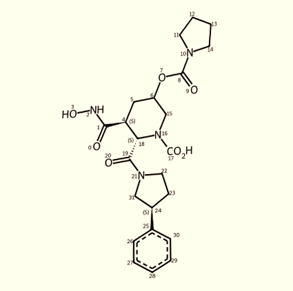 O=C(NO)[C@H]1CC(OC(=O)N2CCCC2)CN(C(=O)O)[C@@H]1C(=O)N1CC[C@@H](c2ccccc2)C1